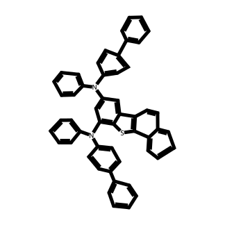 c1ccc(-c2ccc(N(c3ccccc3)c3cc(N(c4ccccc4)c4ccc(-c5ccccc5)cc4)c4sc5c6ccccc6ccc5c4c3)cc2)cc1